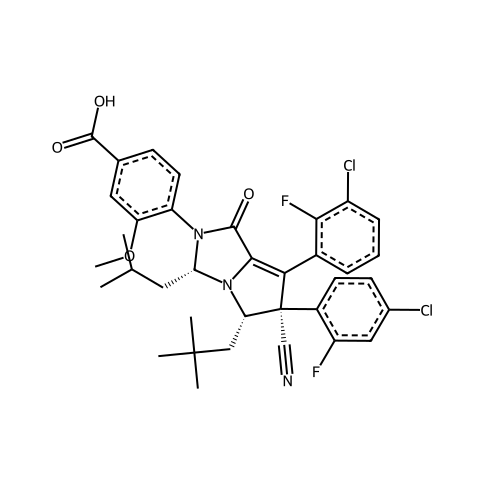 COc1cc(C(=O)O)ccc1N1C(=O)C2=C(c3cccc(Cl)c3F)[C@@](C#N)(c3ccc(Cl)cc3F)[C@H](CC(C)(C)C)N2[C@@H]1CC(C)C